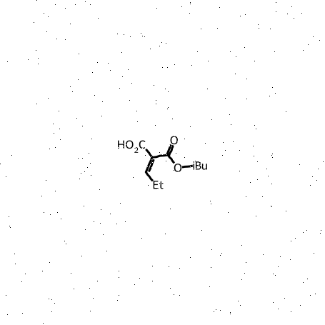 CCC=C(C(=O)O)C(=O)OC(C)CC